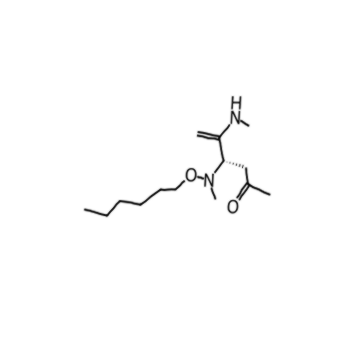 C=C(NC)[C@H](CC(C)=O)N(C)OCCCCCC